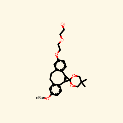 CCCCOc1ccc2c(c1)CCc1cc(OCCOCCO)ccc1C1=C2C12OCC(C)(C)CO2